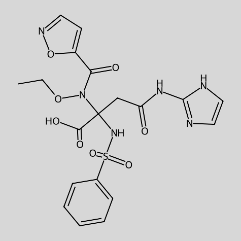 CCON(C(=O)c1ccno1)C(CC(=O)Nc1ncc[nH]1)(NS(=O)(=O)c1ccccc1)C(=O)O